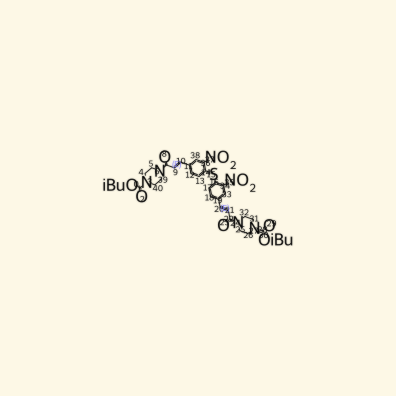 CC(C)COC(=O)N1CCN(C(=O)/C=C/c2ccc(Sc3ccc(/C=C/C(=O)N4CCN(C(=O)OCC(C)C)CC4)cc3[N+](=O)[O-])c([N+](=O)[O-])c2)CC1